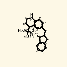 CC1c2ccccc2CC1Cc1ccc2c(c1)C(C(C)(C)C)CCN2